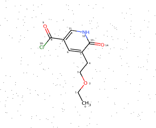 CCOCCc1cc(C(=O)Cl)c[nH]c1=O